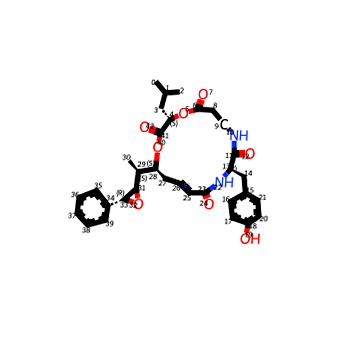 CC(C)C[C@@H]1OC(=O)CCNC(=O)[C@@H](Cc2ccc(O)cc2)NC(=O)/C=C/C[C@@H]([C@H](C)C2O[C@@H]2c2ccccc2)OC1=O